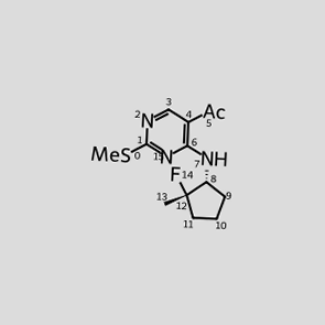 CSc1ncc(C(C)=O)c(N[C@@H]2CCC[C@]2(C)F)n1